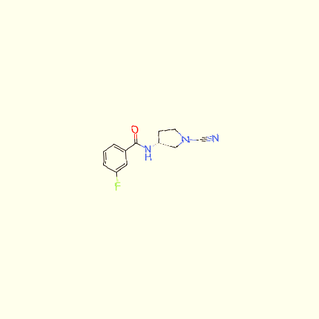 N#CN1CC[C@@H](NC(=O)c2cccc(F)c2)C1